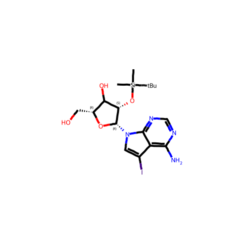 CC(C)(C)[Si](C)(C)O[C@H]1C(O)[C@@H](CO)O[C@H]1n1cc(I)c2c(N)ncnc21